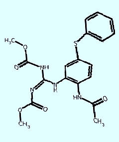 COC(=O)/N=C(/NC(=O)OC)Nc1cc(Sc2ccccc2)ccc1NC(C)=O